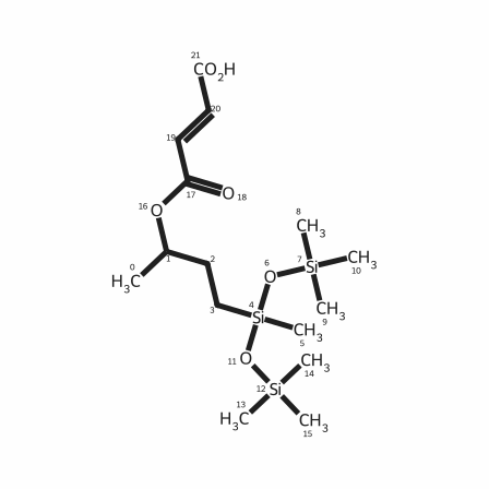 CC(CC[Si](C)(O[Si](C)(C)C)O[Si](C)(C)C)OC(=O)/C=C/C(=O)O